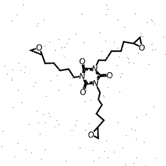 O=c1n(CCCCCC2CO2)c(=O)n(CCCCCC2CO2)c(=O)n1CCCCCC1CO1